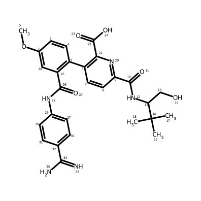 COc1ccc(-c2ccc(C(=O)NC(CO)C(C)(C)C)nc2C(=O)O)c(C(=O)Nc2ccc(C(=N)N)cc2)c1